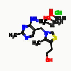 CCC.Cc1ncc(C[n+]2csc(CCO)c2C)c(N)n1.Cl.O=S(=O)(O)O.O=S(=O)(O)O